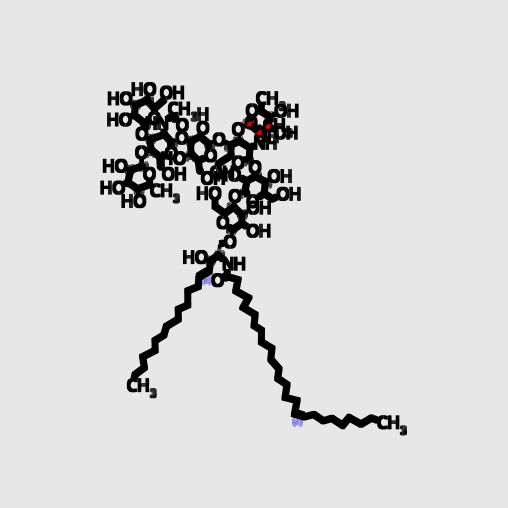 CCCCCCCC/C=C\CCCCCCCCCCCCCCCC(=O)N[C@@H](CO[C@@H]1OC(CO)[C@@H](O[C@@H]2OC(CO)[C@H](O)[C@H](O[C@@H]3OC(CO)[C@@H](O[C@@H]4OC(CO)[C@H](O)[C@H](O[C@@H]5OC(CO)[C@@H](O[C@H]6OC(C)[C@@H](O)C(O)[C@@H]6O)[C@H](O[C@@H]6OC(CO)[C@H](O)[C@H](O)C6O)C5NC(C)=O)C4O)[C@H](O[C@H]4OC(C)[C@@H](O)C(O)[C@@H]4O)C3NC(C)=O)C2O)[C@H](O)C1O)[C@H](O)/C=C/CCCCCCCCCCCCC